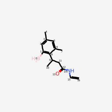 Bc1cc(C)cc(C)c1C(C)CC(=O)NC=C